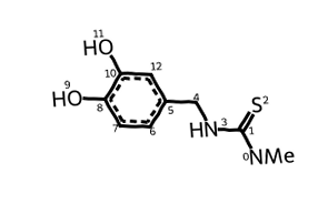 CNC(=S)NCc1ccc(O)c(O)c1